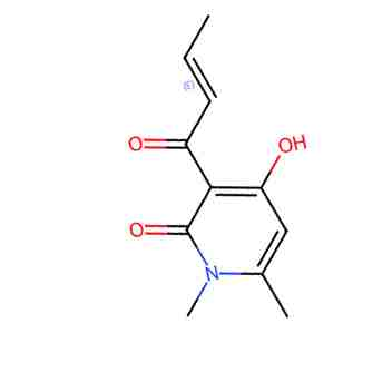 C/C=C/C(=O)c1c(O)cc(C)n(C)c1=O